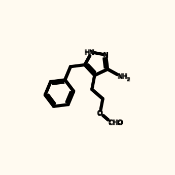 Nc1n[nH]c(Cc2ccccc2)c1CCOC=O